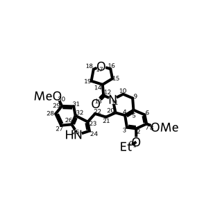 CCOc1cc2c(cc1OC)CCN(C(=O)C1CCOCC1)C2CCc1c[nH]c2ccc(OC)cc12